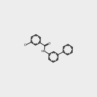 O=C(Nc1cccc(-c2ccccc2)c1)c1cccc(Cl)c1